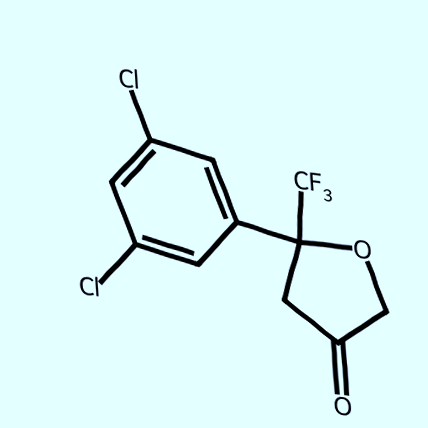 O=C1COC(c2cc(Cl)cc(Cl)c2)(C(F)(F)F)C1